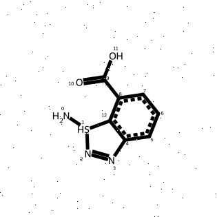 N[SH]1N=Nc2cccc(C(=O)O)c21